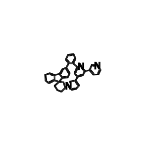 c1cncc(-c2cc(-c3cccnc3)nc(-c3ccccc3-c3ccc4c(c3)-c3ccccc3C43CCCCC3)c2)c1